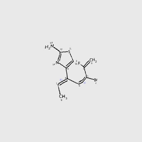 C=C(F)/C(Br)=C\C(=C/C)c1csc(N)n1